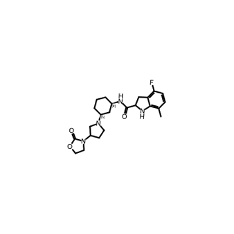 Cc1ccc(F)c2c1NC(C(=O)N[C@@H]1CCC[C@H](N3CCC(N4CCOC4=O)C3)C1)C2